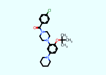 CC(C)(C)Oc1ccc(N2CCCCC2)cc1N1CCN(C(=O)c2ccc(Cl)cc2)CC1